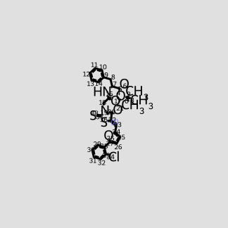 CC(C)(C)OC(=O)C(Cc1ccccc1)NC(=O)CN1C(=O)/C(=C/c2ccc(-c3ccccc3Cl)o2)SC1=S